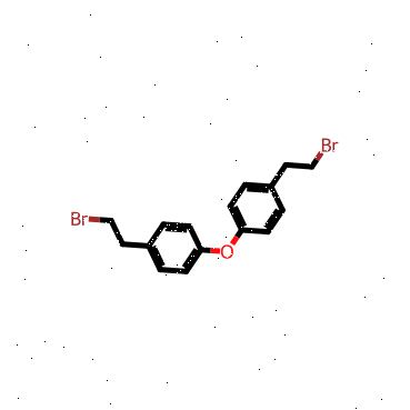 BrCCc1ccc(Oc2ccc(CCBr)cc2)cc1